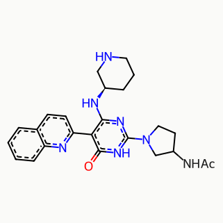 CC(=O)NC1CCN(c2nc(N[C@@H]3CCCNC3)c(-c3ccc4ccccc4n3)c(=O)[nH]2)C1